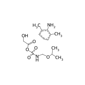 CC(C)OCNS(=O)(=O)OC(=O)CO.Cc1cccc(C)c1N